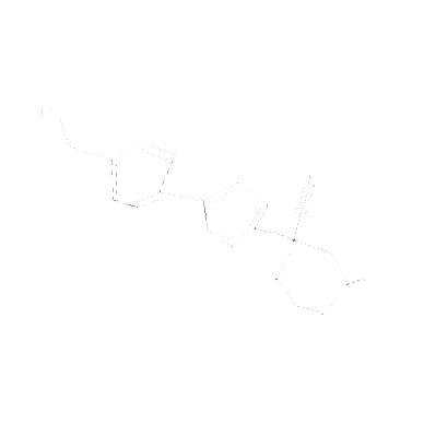 CCc1ccc(-c2ccc(C3(C#N)CCCC(Cl)C3)cc2)cc1